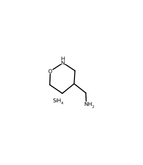 NCC1CCONC1.[SiH4]